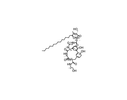 CCCCCCCCCCCCCCCC(=O)N(C)[C@H](CO)C(=O)N[C@H](C)C(=O)NCC(=O)N(C)[C@@H]1C(=O)N[C@@H](C)C(=O)N[C@H](C(=O)N[C@@H](C)CO)CC2=CC[C@H](O)C(=C2)c2cc1ccc2O